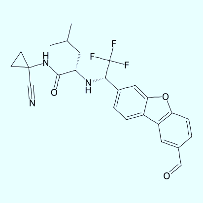 CC(C)C[C@H](N[C@@H](c1ccc2c(c1)oc1ccc(C=O)cc12)C(F)(F)F)C(=O)NC1(C#N)CC1